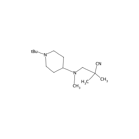 CN(CC(C)(C)C#N)C1CCN(C(C)(C)C)CC1